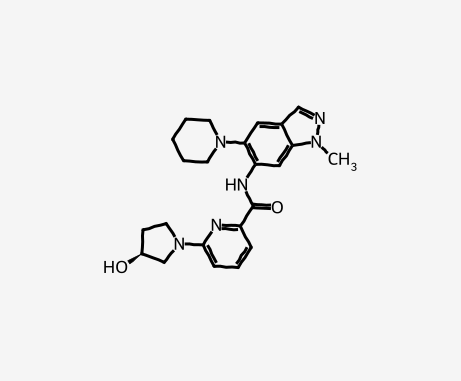 Cn1ncc2cc(N3CCCCC3)c(NC(=O)c3cccc(N4CC[C@H](O)C4)n3)cc21